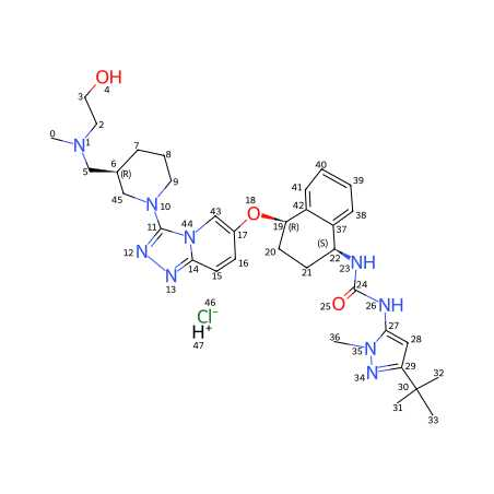 CN(CCO)C[C@H]1CCCN(c2nnc3ccc(O[C@@H]4CC[C@H](NC(=O)Nc5cc(C(C)(C)C)nn5C)c5ccccc54)cn23)C1.[Cl-].[H+]